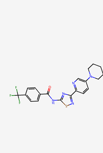 O=C(Nc1nc(-c2ccc(N3CCCCC3)cn2)ns1)c1ccc(C(F)(F)F)cc1